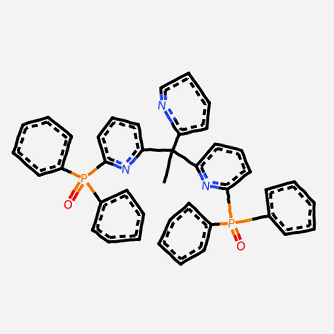 CC(c1ccccn1)(c1cccc(P(=O)(c2ccccc2)c2ccccc2)n1)c1cccc(P(=O)(c2ccccc2)c2ccccc2)n1